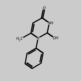 CC1=CC(=O)NC(O)N1c1ccccc1